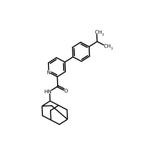 CC(C)c1ccc(-c2ccnc(C(=O)NC3C4CC5CC(C4)CC3C5)c2)cc1